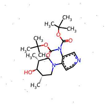 C[C@@H]1CN(c2ccncc2N(C(=O)OC(C)(C)C)C(=O)OC(C)(C)C)C[C@H](C)[C@H]1O